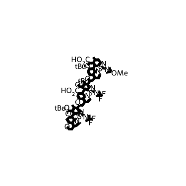 COC1CN(c2nc3cc(C)c([C@H](OC(C)(C)C)C(=O)O)c(-c4ccc5c6c(ccnc46)CC(c4c(C)c([C@H](OC(C)(C)C)C(=O)O)c(-c6ccc7c8c(ccnc68)CC(c6c(C)c([C@H](OC(C)(C)C)C(=O)O)c(-c8ccc9c%10c(ccnc8%10)CCO9)c8sc(N9CC(F)(F)C9)nc68)O7)c6sc(N7CC(F)(F)C7)nc46)O5)c3s2)C1